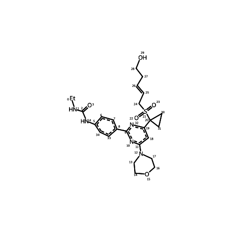 CCNC(=O)Nc1ccc(-c2nc(N3CCOCC3)cc(C3(S(=O)(=O)CC=CCCO)CC3)n2)cc1